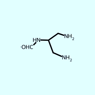 NCC(CN)N[C]=O